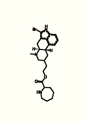 CN1CC(CCOC(=O)C2CCCCCN2)C[C@H]2c3cccc4[nH]c(Br)c(c34)C[C@@H]21